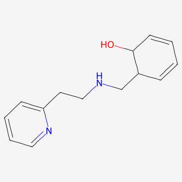 OC1C=CC=CC1CNCCc1ccccn1